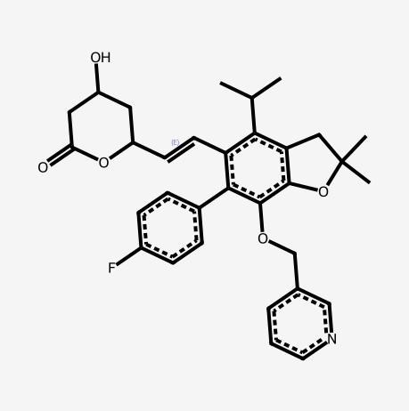 CC(C)c1c(/C=C/C2CC(O)CC(=O)O2)c(-c2ccc(F)cc2)c(OCc2cccnc2)c2c1CC(C)(C)O2